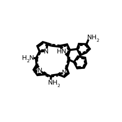 Nc1cccc(-c2cc3cc4nc(c(N)c5ccc([nH]5)c(N)c5nc(c(-c6ccccc6)c2[nH]3)C=C5)C=C4)c1